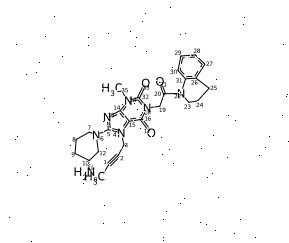 CC#CCn1c(N2CCC[C@@H](N)C2)nc2c1c(=O)n(CC(=O)N1CCCc3ccccc31)c(=O)n2C